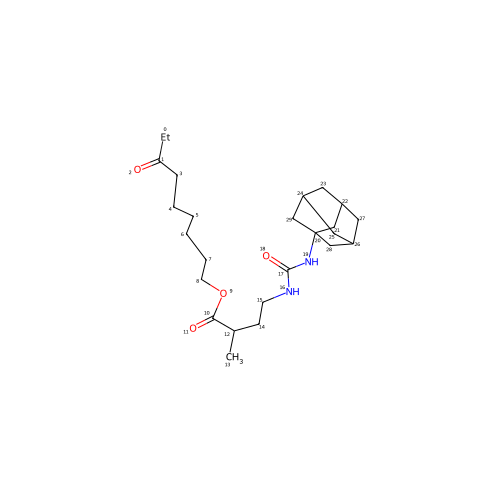 CCC(=O)CCCCCCOC(=O)C(C)CCNC(=O)NC12CC3CC(CC(C3)C1)C2